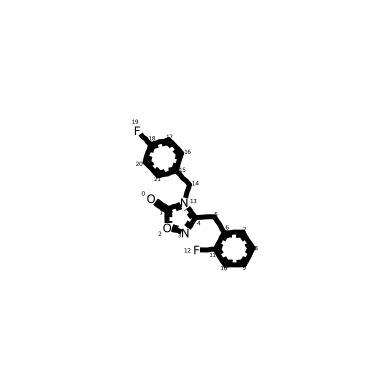 O=c1onc(Cc2ccccc2F)n1Cc1ccc(F)cc1